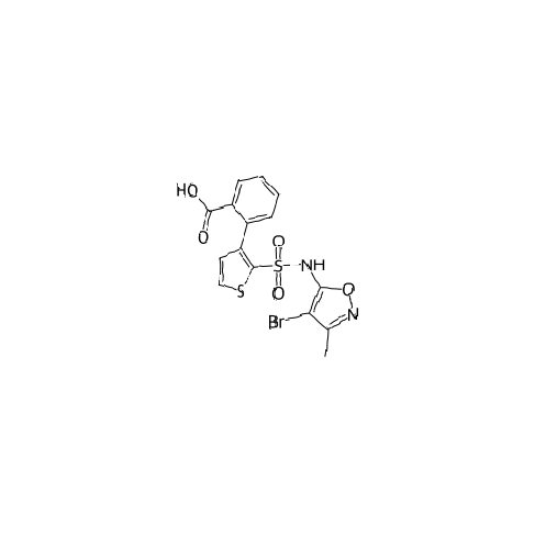 Cc1noc(NS(=O)(=O)c2sccc2-c2ccccc2C(=O)O)c1Br